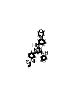 C=CC(=O)Nc1cccc(-c2cc(Nc3ccccc3)nc(Nc3cccc(N4CCOCC4)c3)n2)c1